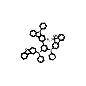 CC1(C)c2ccccc2-c2ccc(N(C3=CCCC=C3)c3cc(-c4ccc5c(c4)c4ccccc4n5-c4ccccc4)cc(N(c4ccccc4)c4ccc5oc6ccccc6c5c4)c3)cc21